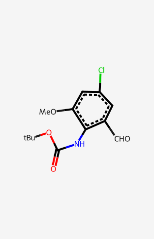 COc1cc(Cl)cc(C=O)c1NC(=O)OC(C)(C)C